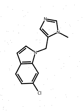 Cn1cncc1Cn1ccc2ccc(Cl)cc21